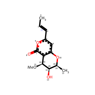 C/C=C/c1cc2c(c(=O)o1)[C@H](OC)[C@H](O)[C@H](C)O2